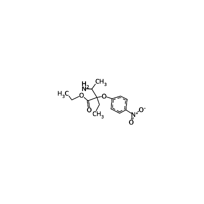 CCOC(=O)C(CC)(Oc1ccc([N+](=O)[O-])cc1)C(C)N